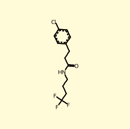 O=C(CCc1ccc(Cl)cc1)NCCCC(F)(F)F